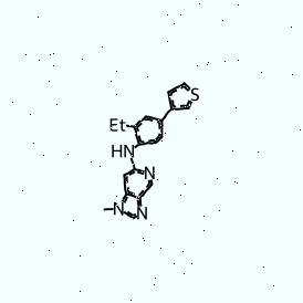 CCc1cc(-c2ccsc2)ccc1Nc1cc2c(cn1)ncn2C